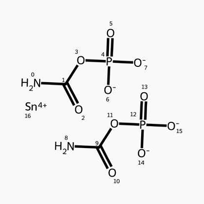 NC(=O)OP(=O)([O-])[O-].NC(=O)OP(=O)([O-])[O-].[Sn+4]